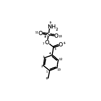 Cc1ccc(C(=O)OS(N)(=O)=O)cc1